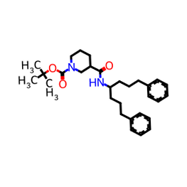 CC(C)(C)OC(=O)N1CCCC(C(=O)NC(CCCc2ccccc2)CCCc2ccccc2)C1